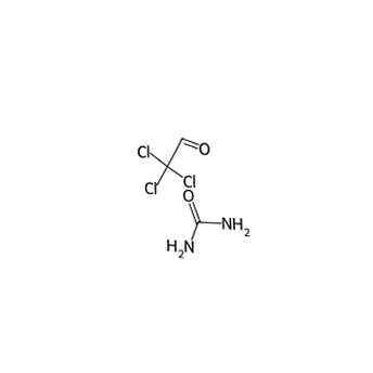 NC(N)=O.O=CC(Cl)(Cl)Cl